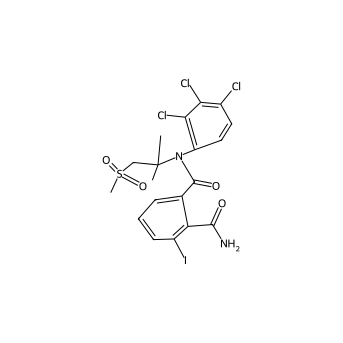 CC(C)(CS(C)(=O)=O)N(C(=O)c1cccc(I)c1C(N)=O)c1ccc(Cl)c(Cl)c1Cl